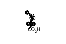 O=C(O)CCc1c2ccccc2c(CCC(=O)OC(=O)CCc2ccccc2)c2ccccc12